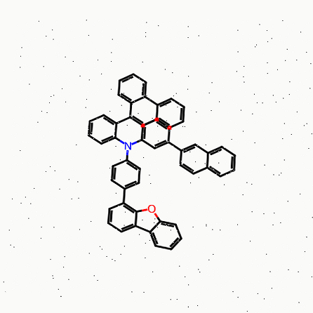 c1cc(-c2ccc3ccccc3c2)cc(N(c2ccc(-c3cccc4c3oc3ccccc34)cc2)c2ccccc2-c2cc3ccccc3c3ccccc23)c1